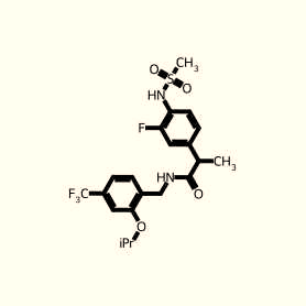 CC(C)Oc1cc(C(F)(F)F)ccc1CNC(=O)C(C)c1ccc(NS(C)(=O)=O)c(F)c1